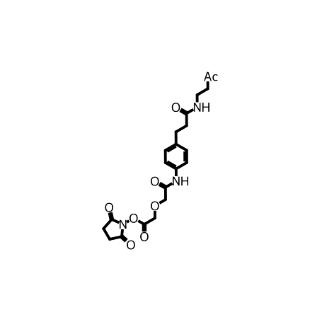 CC(=O)CCNC(=O)CCc1ccc(NC(=O)COCC(=O)ON2C(=O)CCC2=O)cc1